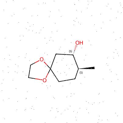 C[C@H]1CCC2(C[C@@H]1O)OCCO2